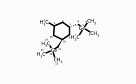 CC1C[C@H]([CH2][Ge]([CH3])([CH3])[CH3])C[C@@H]([CH2][Ge]([CH3])([CH3])[CH3])C1